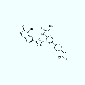 CCC(=O)NC1CC=C(c2cnc(NC(=O)OC(C)(C)C)c(-c3nnc(-c4ccc(CN(C)C(=O)OC(C)(C)C)cc4)o3)n2)CC1